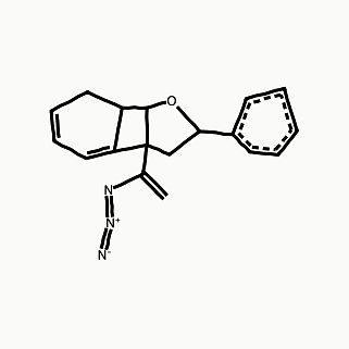 C=C(N=[N+]=[N-])C12CC(c3ccccc3)OC1C1CC=CC=C12